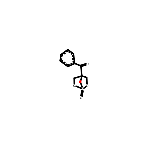 O=C(c1ccccc1)C12COP(=O)(OC1)OC2